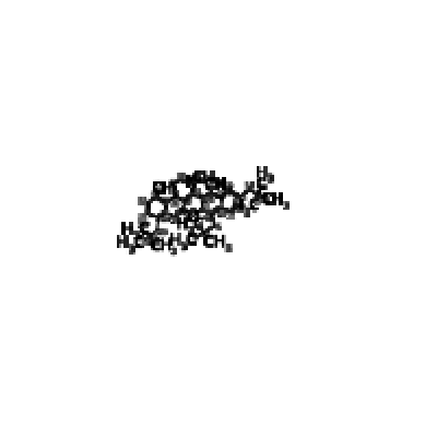 Cc1c2c(c(CC(C)(C)C)c3ccc(CC(C)(C)C)cc13)Oc1cc3c(CC(C)(C)C)ccc(C)c3c3cc[n+](C)c-2c13